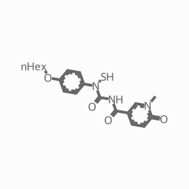 CCCCCCOc1ccc(N(S)C(=O)NC(=O)c2ccc(=O)n(C)c2)cc1